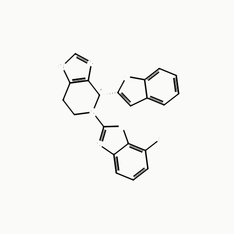 Fc1cccc2nc(N3CCc4[nH]cnc4[C@@H]3c3cc4ccccc4o3)oc12